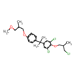 COCC(C)COc1ccc(C(C)(C)c2cc(Cl)c(OCC(C)CCl)c(Cl)c2)cc1